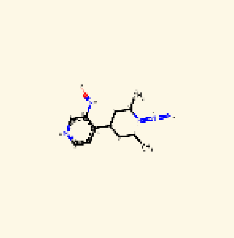 CCCC(CC(C)N=[N+]=[N-])c1ccncc1N=O